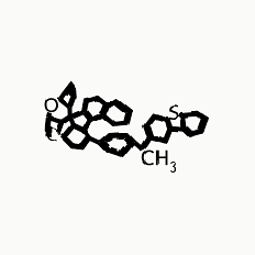 CC(C1=CCC2SC3CC=CC=C3C2C1)c1ccc(C2=CCCC3C2C2=C(CCC4=C2CCC=C4)C32C3C=CC=CC3OC3C=CCCC32)cc1